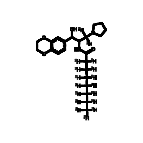 [2H]C([2H])(C(NC(=O)C([2H])([2H])C([2H])([2H])C([2H])([2H])C([2H])([2H])C([2H])([2H])C([2H])([2H])C([2H])([2H])[2H])C(O)c1ccc2c(c1)OCCO2)N1CCCC1